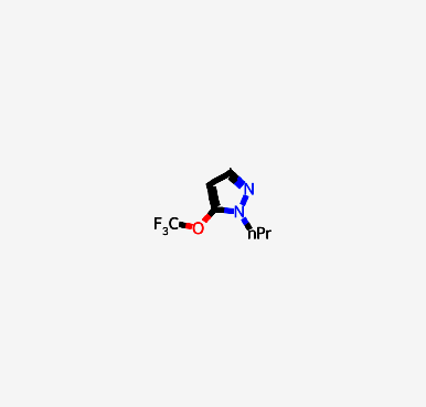 CCCn1n[c]cc1OC(F)(F)F